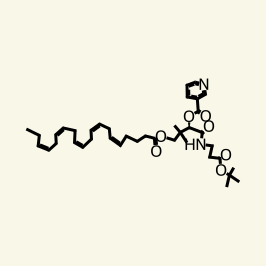 CC/C=C\C/C=C\C/C=C\C/C=C\C/C=C\CCCC(=O)OCC(C)(C)[C@@H](OC(=O)c1cccnc1)C(=O)NCCC(=O)OC(C)(C)C